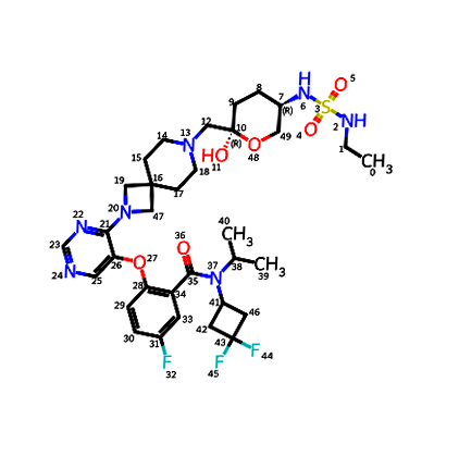 CCNS(=O)(=O)N[C@@H]1CC[C@](O)(CN2CCC3(CC2)CN(c2ncncc2Oc2ccc(F)cc2C(=O)N(C(C)C)C2CC(F)(F)C2)C3)OC1